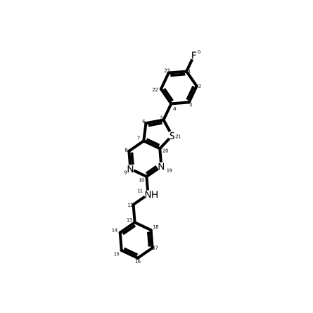 Fc1ccc(-c2cc3cnc(NCc4ccccc4)nc3s2)cc1